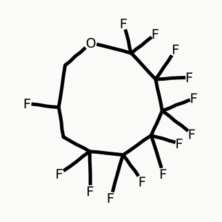 FC1COC(F)(F)C(F)(F)C(F)(F)C(F)(F)C(F)(F)C(F)(F)C1